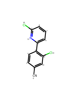 N#Cc1ccc(-c2cccc(Cl)n2)c(Cl)c1